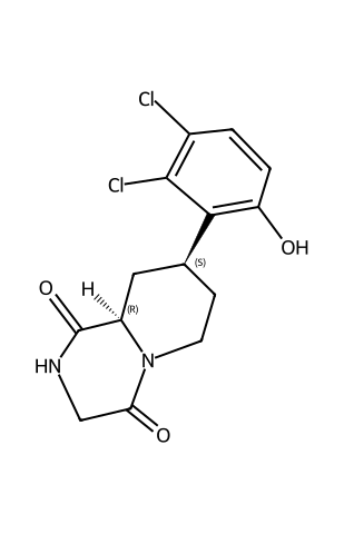 O=C1NCC(=O)N2CC[C@H](c3c(O)ccc(Cl)c3Cl)C[C@H]12